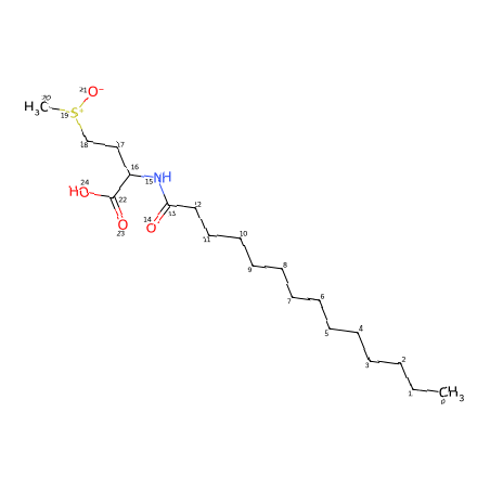 CCCCCCCCCCCCCC(=O)NC(CC[S+](C)[O-])C(=O)O